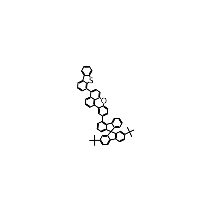 CC(C)(C)c1ccc2c(c1)C1(c3cc(C(C)(C)C)ccc3-2)c2ccccc2-c2c(-c3ccc4c(c3)-c3cccc5c(-c6cccc7c6sc6ccccc67)ccc(c35)O4)cccc21